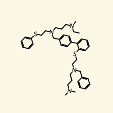 CCN(C)CCCN(CCSc1ccccc1)Cc1ccc(-c2ccccc2SCCN(CCCN(C)C)Cc2ccccc2)cc1